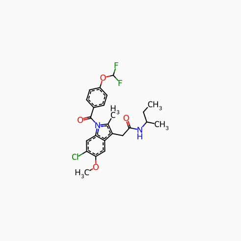 CCC(C)NC(=O)Cc1c(C)n(C(=O)c2ccc(OC(F)F)cc2)c2cc(Cl)c(OC)cc12